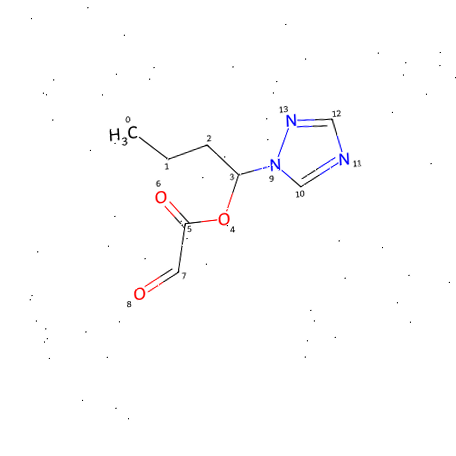 CCCC(OC(=O)C=O)n1cncn1